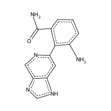 NC(=O)c1cccc(N)c1-c1cc2[nH]cnc2cn1